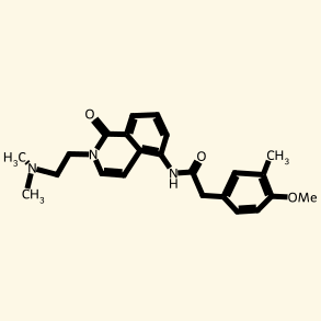 COc1ccc(CC(=O)Nc2cccc3c(=O)n(CCN(C)C)ccc23)cc1C